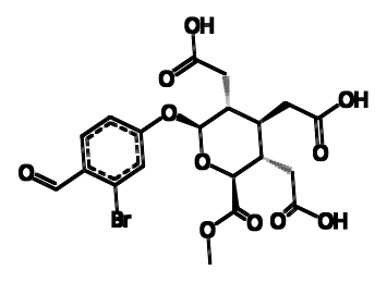 COC(=O)[C@H]1O[C@@H](Oc2ccc(C=O)c(Br)c2)[C@H](CC(=O)O)[C@@H](CC(=O)O)[C@@H]1CC(=O)O